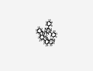 c1ccc(-c2nc(-c3ccccc3)nc(-n3c4ccccc4c4ccc5c6ccc7ccncc7c6sc5c43)n2)cc1